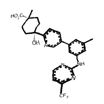 Cc1cc(Nc2nccc(C(F)(F)F)n2)cc(-c2ccc([C@]3(O)CC[C@@](C)(C(=O)O)CC3)nc2)c1